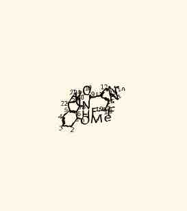 COC1CC=CC2=C1C1(NC(=O)c3cn(C)nc3C(F)F)CCC2C1(C)C